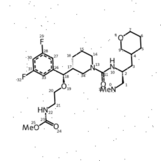 CNC[C@H](CC1CCCOC1)NC(=O)N1CCC[C@@H]([C@@H](OCCNC(=O)OC)c2cc(F)cc(F)c2)C1